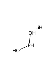 OPO.[LiH]